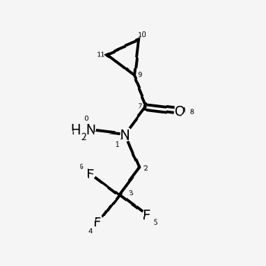 NN(CC(F)(F)F)C(=O)C1CC1